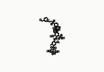 COc1cc(S(=O)(=O)C(CO)(CO)S(=O)(=O)O)c(C)cc1N=Nc1c(S(=O)(=O)O)cc2c(/N=N\c3ccc(S(=O)(=O)CC[n+]4cccc(C=O)c4)cc3S(=O)(=O)O)c(N)ccc2c1O